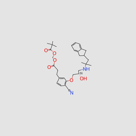 CC(C)(CC1Cc2ccccc2C1)NC[C@H](O)COc1cc(CCC(=O)OCOC(=O)C(C)(C)C)ccc1C#N